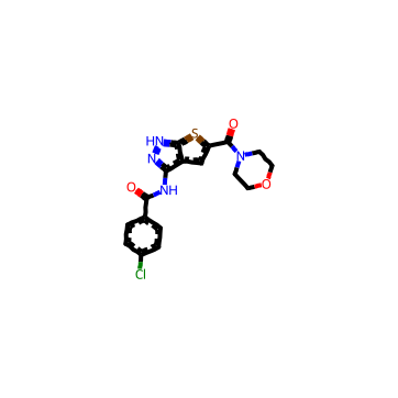 O=C(Nc1n[nH]c2sc(C(=O)N3CCOCC3)cc12)c1ccc(Cl)cc1